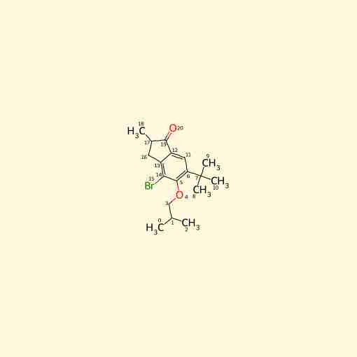 CC(C)COc1c(C(C)(C)C)cc2c(c1Br)CC(C)C2=O